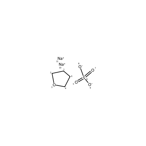 C1CCOC1.O=S(=O)([O-])[O-].[Na+].[Na+]